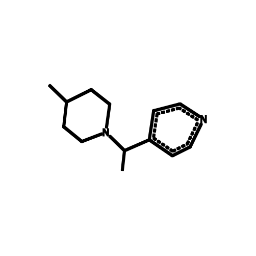 CC1CCN(C(C)c2ccncc2)CC1